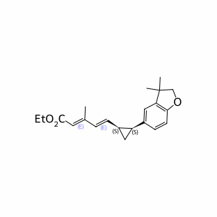 CCOC(=O)/C=C(C)/C=C/[C@@H]1C[C@@H]1c1ccc2c(c1)C(C)(C)CO2